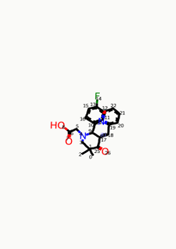 CC1(C)CN(CC(=O)O)C(c2ccc(F)cc2)/C(=C\c2ccccn2)C1=O